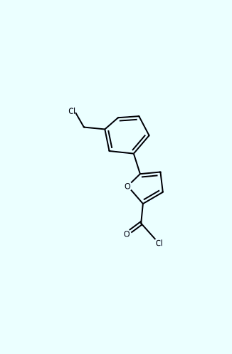 O=C(Cl)c1ccc(-c2cccc(CCl)c2)o1